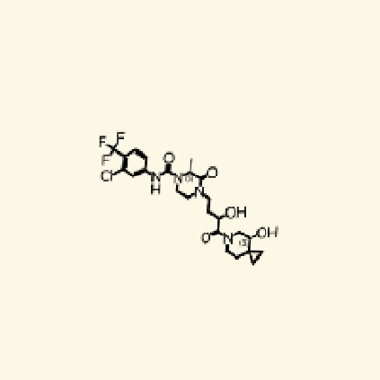 C[C@H]1C(=O)N(CCC(O)C(=O)N2CCC3(CC3)[C@H](O)C2)CCN1C(=O)Nc1ccc(C(F)(F)F)c(Cl)c1